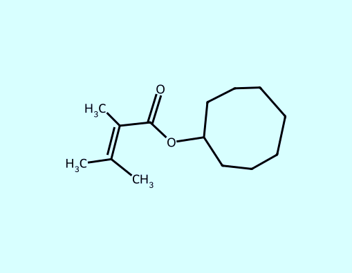 CC(C)=C(C)C(=O)OC1CCCCCCC1